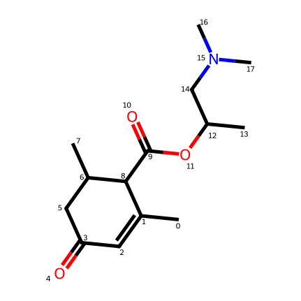 CC1=CC(=O)CC(C)C1C(=O)OC(C)CN(C)C